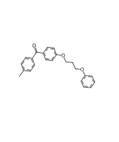 Cc1ccc(C(=O)c2ccc(OCCCOc3ccccc3)cc2)cc1